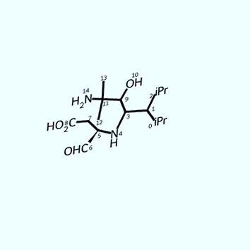 CC(C)C(C(C)C)C(N[C@@H](C=O)CC(=O)O)C(O)C(C)(C)N